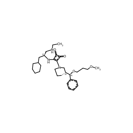 CCNC[C@H](CC1CCCCC1)Nc1c(N2CCC[C@@H]([C@@H](OCCCOC)c3ccccc3)C2)c(=O)c1=O